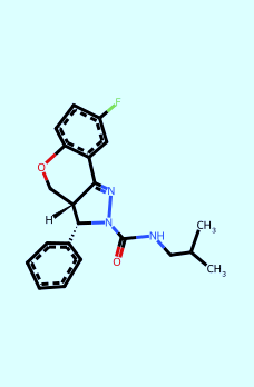 CC(C)CNC(=O)N1N=C2c3cc(F)ccc3OC[C@H]2[C@H]1c1ccccc1